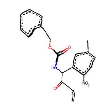 C=CC(=O)C(NC(=O)OCc1ccccc1)c1cc(C)ccc1[N+](=O)[O-]